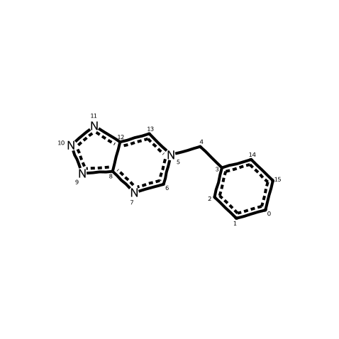 c1ccc(Cn2cnc3nnnc-3c2)cc1